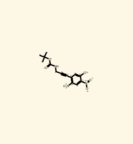 CC(C)(C)OC(=O)NCC#Cc1cc(Cl)c([N+](=O)[O-])cc1N